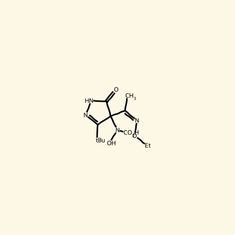 CCO/N=C(/C)C1(N(O)C(=O)O)C(=O)NN=C1C(C)(C)C